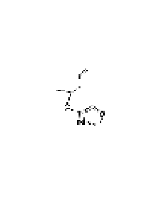 C=CCC(C)Oc1cnccn1